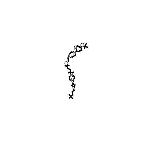 CC(C)(C)CCCN1CC(N2CCN(C(C)(C)CCC(C)(C)OCCN3CCN(c4ccc(OC(C)(C)C)cn4)CC3)CC2)C1